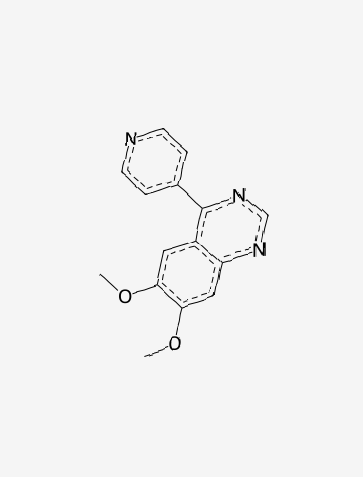 COc1cc2ncnc(-c3ccncc3)c2cc1OC